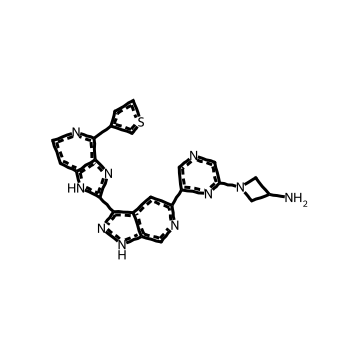 NC1CN(c2cncc(-c3cc4c(-c5nc6c(-c7ccsc7)nccc6[nH]5)n[nH]c4cn3)n2)C1